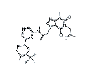 C=C(Cn1cnc2c1c(=O)n(CC(C)=O)c(=O)n2C)Nc1cncc(-c2cnc(C)c(C(F)(F)F)c2)n1